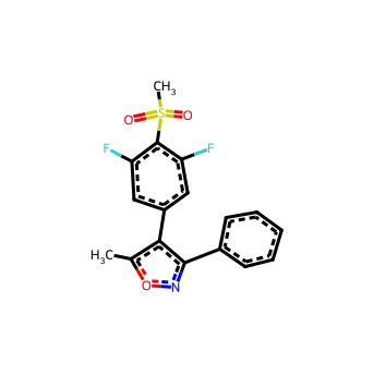 Cc1onc(-c2ccccc2)c1-c1cc(F)c(S(C)(=O)=O)c(F)c1